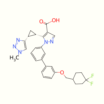 Cn1cc([C@@H]2C[C@@H]2c2c(C(=O)O)cnn2-c2cccc(-c3cccc(OCC4CCC(F)(F)CC4)c3)c2)nn1